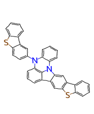 c1ccc2c(c1)N(c1ccc3sc4ccccc4c3c1)c1cccc3c4cc5sc6ccccc6c5cc4n-2c13